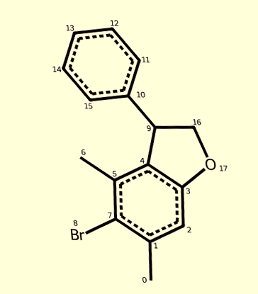 Cc1cc2c(c(C)c1Br)C(c1ccccc1)CO2